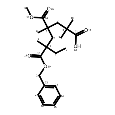 CCC(C)(CC(C)(CC(C)(C)C(=O)O)C(=O)OC)C(=O)OCc1ccccc1